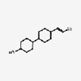 CCC=CC1CCC(C2CCC(CCC)CC2)CC1